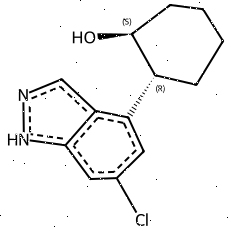 O[C@H]1CCCC[C@@H]1c1cc(Cl)cc2[nH]ncc12